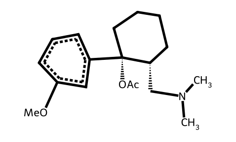 COc1cccc([C@@]2(OC(C)=O)CCCC[C@@H]2CN(C)C)c1